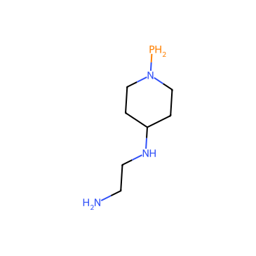 NCCNC1CCN(P)CC1